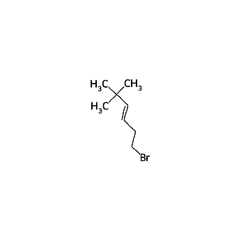 CC(C)(C)C=CCCBr